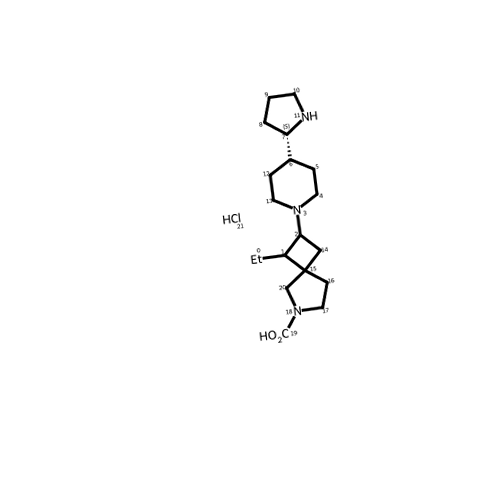 CCC1C(N2CCC([C@@H]3CCCN3)CC2)CC12CCN(C(=O)O)C2.Cl